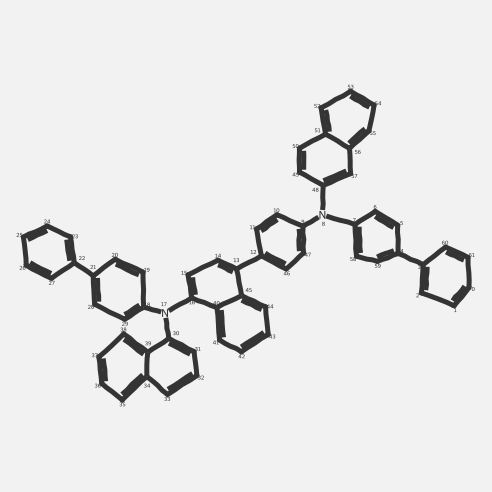 c1ccc(-c2ccc(N(c3ccc(-c4ccc(N(c5ccc(-c6ccccc6)cc5)c5cccc6ccccc56)c5ccccc45)cc3)c3ccc4ccccc4c3)cc2)cc1